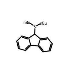 CCCC[Si](CCCC)C1c2ccccc2-c2ccccc21